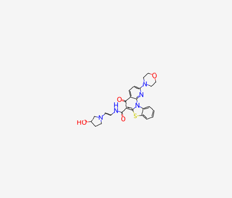 O=C(NCCN1CCC(O)C1)c1c(=O)c2ccc(N3CCOCC3)nc2n2c1sc1ccccc12